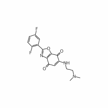 CN(C)CCNC1=CC(=O)c2nc(-c3cc(F)ccc3F)oc2C1=O